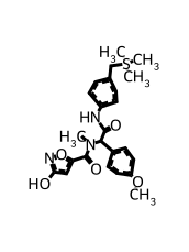 COc1ccc(C(C(=O)Nc2ccc(CS(C)(C)C)cc2)N(C)C(=O)c2cc(O)no2)cc1